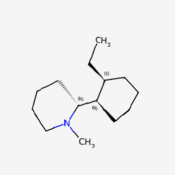 CC[C@H]1CCCC[C@H]1[C@H]1CCCCN1C